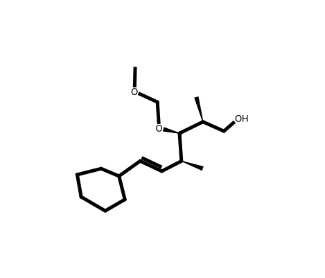 COCO[C@H]([C@@H](C)/C=C/C1CCCCC1)[C@@H](C)CO